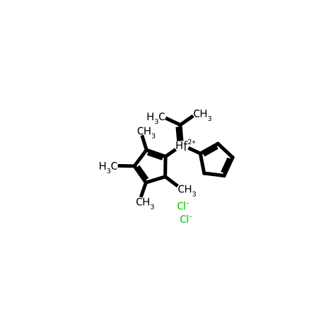 CC1=C(C)C(C)[C]([Hf+2]([C]2=CC=CC2)=[C](C)C)=C1C.[Cl-].[Cl-]